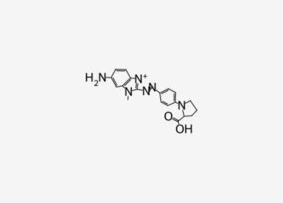 Cn1c(/N=N/c2ccc(N3CCCC3C(=O)O)cc2)[n+](C)c2ccc(N)cc21